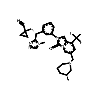 C[C@H]1CCCN(Cc2cc(C(F)(F)F)c3cn(-c4cccc([C@@H](CC5(C#N)CC5)c5nncn5C)c4)c(=O)n3c2)C1